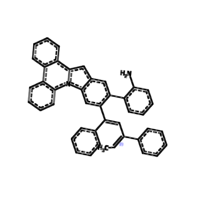 C/C=C(\C=C(c1ccccc1)c1cc2c(cc1-c1ccccc1N)cc1c3ccccc3c3ccccc3n21)c1ccccc1